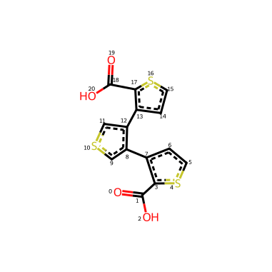 O=C(O)c1sccc1-c1cscc1-c1ccsc1C(=O)O